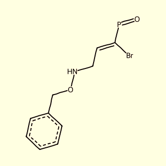 O=P/C(Br)=C/CNOCc1ccccc1